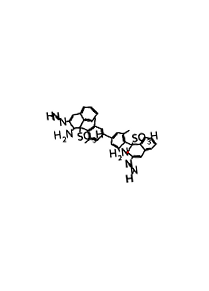 [H]/N=N/C1=Cc2ccccc2C(c2c(C)cc(-c3cc(C)c(C4(S(=O)(=O)O)c5ccccc5C=C(/N=N/[H])C4N)c(C)c3)cc2C)(S(=O)(=O)O)C1N